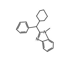 Cn1c(C(c2ccccc2)C2CCCCC2)nc2ccccc21